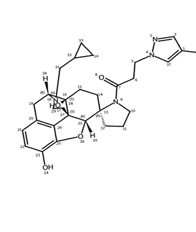 Cc1cnn(CCC(=O)N2CCC[C@]23CC[C@@]2(O)[C@H]4Cc5ccc(O)c6c5[C@@]2(CCN4CC2CC2)[C@H]3O6)c1